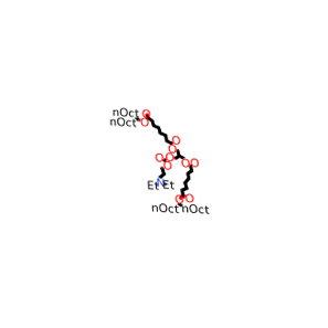 CCCCCCCCC(CCCCCCCC)OC(=O)CCCCCCC(=O)OCC(COC(=O)CCCCCCC(=O)OC(CCCCCCCC)CCCCCCCC)COC(=O)OCCCN(CC)CC